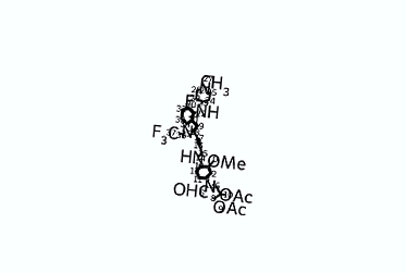 COc1cc(N(C=O)CC(COC(C)=O)OC(C)=O)ccc1NCC#Cc1cc2c(N[C@@H]3CCN(C)C[C@@H]3F)cccc2n1CC(F)(F)F